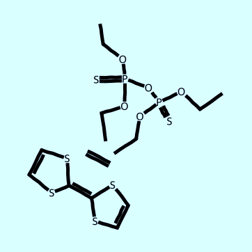 C1=CSC(=C2SC=CS2)S1.C=C.CCOP(=S)(OCC)OP(=S)(OCC)OCC